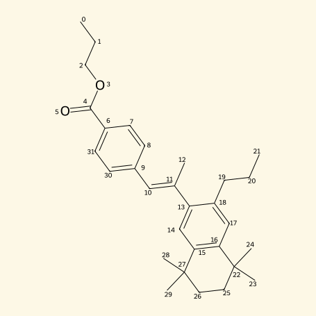 CCCOC(=O)c1ccc(/C=C(\C)c2cc3c(cc2CCC)C(C)(C)CCC3(C)C)cc1